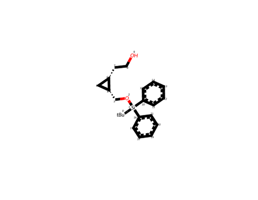 CC(C)(C)[Si](OC[C@@H]1C[C@@H]1CCO)(c1ccccc1)c1ccccc1